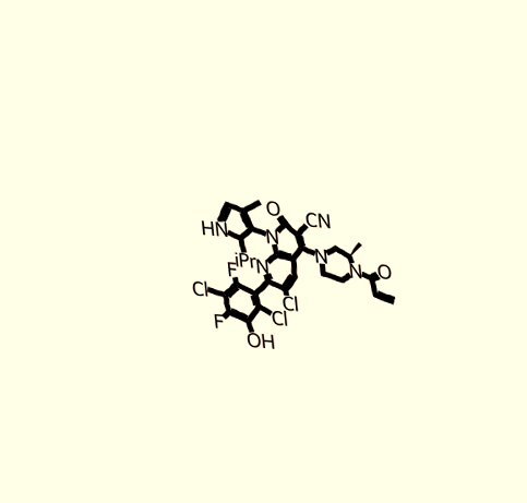 C=CC(=O)N1CCN(c2c(C#N)c(=O)n(C3=C(C)C=CNC3C(C)C)c3nc(-c4c(F)c(Cl)c(F)c(O)c4Cl)c(Cl)cc23)C[C@H]1C